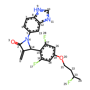 C=C1C(=O)N(c2ccc3[nH]cnc3c2)C1c1c(F)cc(OCCC(C)F)cc1F